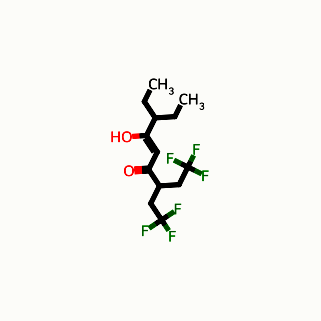 CCC(CC)/C(O)=C/C(=O)C(CC(F)(F)F)CC(F)(F)F